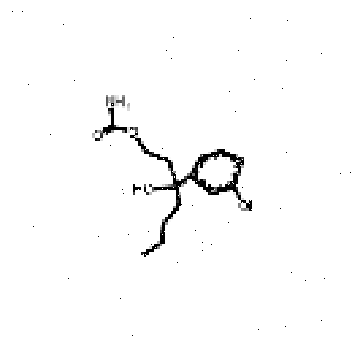 CCCCC(O)(CCOC(N)=O)c1cccc(O)c1